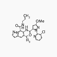 C=CCNC(=O)c1c(NC(=O)c2cc(OC)nn2-c2ncccc2Cl)c(C)cc2ccnn12